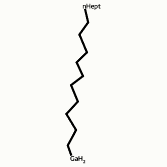 CCCCCCCCCCCCCCCC[CH2][GaH2]